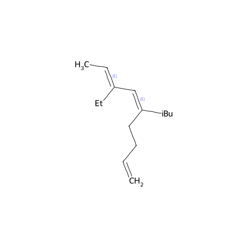 C=CCC/C(=C\C(=C\C)CC)C(C)CC